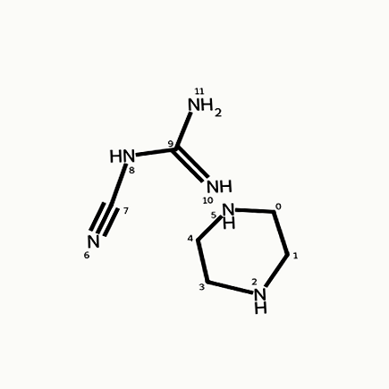 C1CNCCN1.N#CNC(=N)N